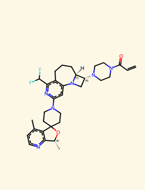 C=CC(=O)N1CCN([C@@H]2CN3c4cc(N5CCC6(CC5)O[C@H](C)c5nccc(C)c56)nc(C(F)F)c4CCC[C@@H]23)CC1